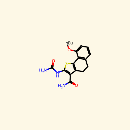 CCCCOc1cccc2c1-c1sc(NC(N)=O)c(C(N)=O)c1CC2